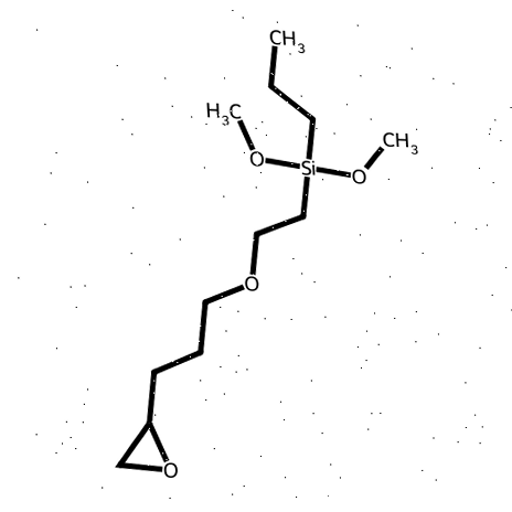 CCC[Si](CCOCCCC1CO1)(OC)OC